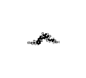 CC[C@@]1(OC(=O)[C@@H](C)CC(C)(C)[Si](C)(C)O)C(=O)OCc2c1cc1n(c2=O)Cc2cc3cc(OC(=O)OC(C)(C)C)ccc3nc2-1